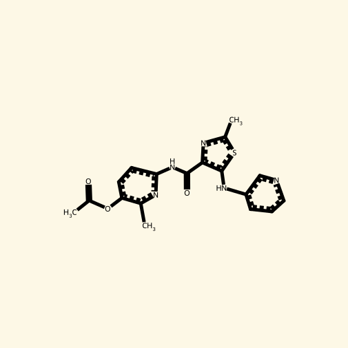 CC(=O)Oc1ccc(NC(=O)c2nc(C)sc2Nc2cccnc2)nc1C